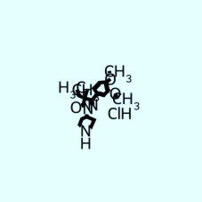 CCC1(CC)C(=O)N(C2CCNCC2)N=C1c1ccc(OC)c(OC)c1.Cl